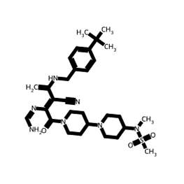 C=C(NCc1ccc(C(C)(C)C)cc1)/C(C#N)=C(\N=C/N)C(=O)N1CCC(N2CCC(N(C)S(C)(=O)=O)CC2)CC1